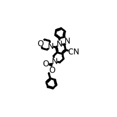 N#Cc1c2c(c(N3CCOCC3)n3c1nc1ccccc13)CN(C(=O)OCc1ccccc1)CC2